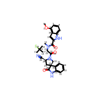 COc1cccc2[nH]c(C(=O)N(C)[C@@H](CC(C)(C)F)C(=O)N3C[C@]4(C[C@H]3C#N)C(=O)Nc3ccccc34)cc12